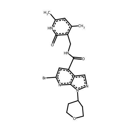 Cc1cc(C)c(CNC(=O)c2cc(Br)nc3c2cnn3C2CCOCC2)c(=O)[nH]1